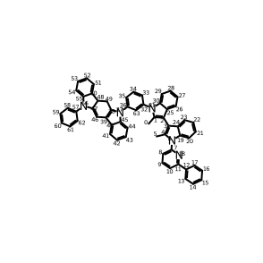 Cc1c(-c2c(C)n(-c3cccc(-c4ccccc4)n3)c3ccccc23)c2ccccc2n1-c1cccc(-n2c3c(c4ccccc42)C=C2C(C3)c3ccccc3N2c2ccccc2)c1